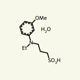 CCN(CCCS(=O)(=O)O)c1cccc(OC)c1.O